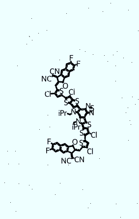 CC(C)Cn1c2c3sc(-c4cc(Cl)c(/C=C5\C(=O)c6cc7cc(F)c(F)cc7cc6C5=C(C#N)C#N)s4)c(Cl)c3sc2c2c3nsnc3c3c4sc5c(Cl)c(-c6cc(Cl)c(/C=C7\C(=O)c8cc9cc(F)c(F)cc9cc8C7=C(C#N)C#N)s6)sc5c4n(CC(C)C)c3c21